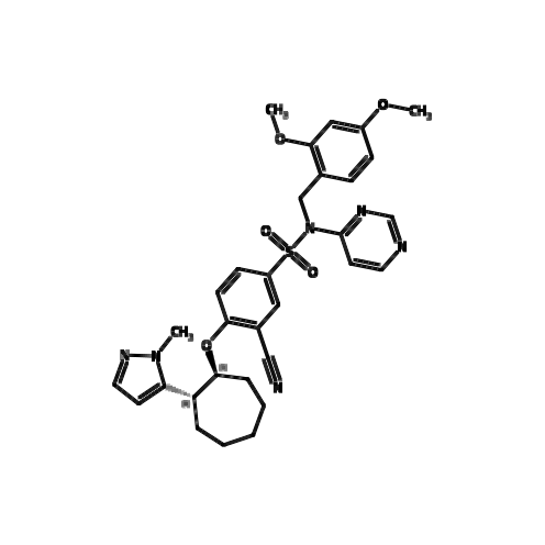 COc1ccc(CN(c2ccncn2)S(=O)(=O)c2ccc(O[C@H]3CCCCC[C@@H]3c3ccnn3C)c(C#N)c2)c(OC)c1